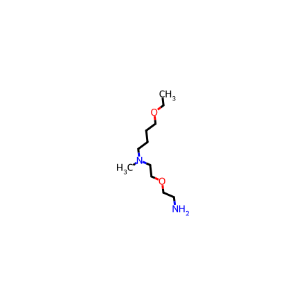 CCOCCCCN(C)CCOCCN